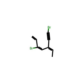 C=C/C(Br)=C\C(C#CBr)=C/C